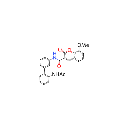 COc1cccc2cc(C(=O)Nc3cccc(-c4ccccc4NC(C)=O)c3)c(=O)oc12